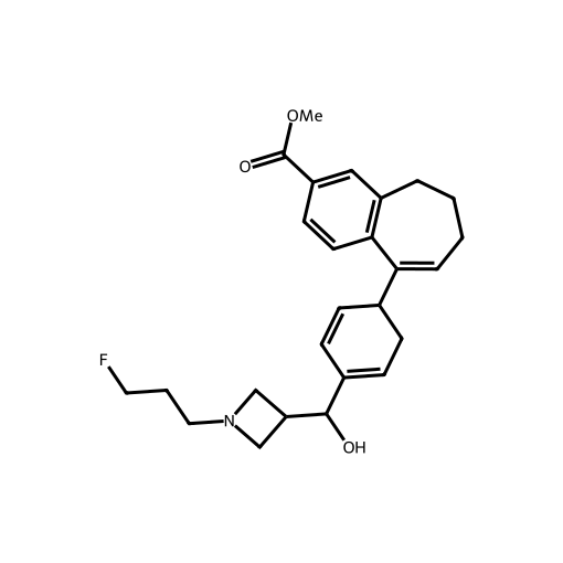 COC(=O)c1ccc2c(c1)CCCC=C2C1C=CC(C(O)C2CN(CCCF)C2)=CC1